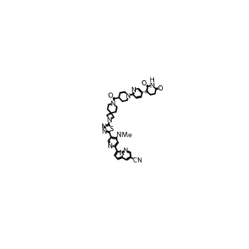 CNc1cc(-c2ccc3cc(C#N)cnn23)ncc1-c1nnc(N2CC3(CCN(C(=O)C4CCN(c5ccc([C@H]6CCC(=O)NC6=O)cn5)CC4)CC3)C2)s1